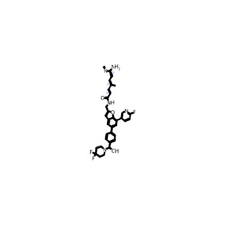 C=N\C(N)=C/C=C(C)/C=C/C(=O)NCc1cc2cc(-c3ccc(C(O)N4CCC(F)(F)CC4)cc3)cc(-c3ccc(F)nc3)c2o1